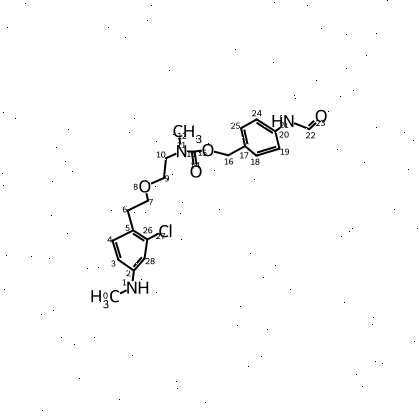 CNc1ccc(CCOCCN(C)C(=O)OCc2ccc(NC=O)cc2)c(Cl)c1